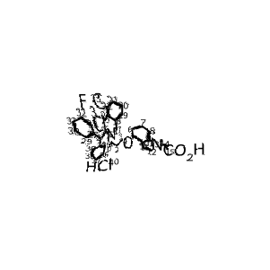 CC(CCOc1cccc2c1ccn2CC(=O)O)N(Cc1cccc(C(F)(F)F)c1Cl)CC(c1ccccc1)c1ccccc1.Cl